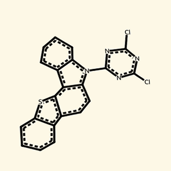 Clc1nc(Cl)nc(-n2c3ccccc3c3c4sc5ccccc5c4ccc32)n1